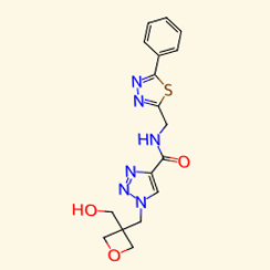 O=C(NCc1nnc(-c2ccccc2)s1)c1cn(CC2(CO)COC2)nn1